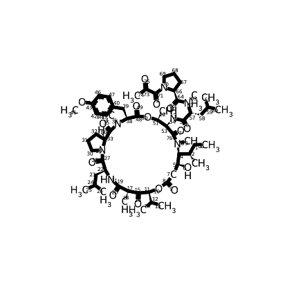 CC[C@H](C)[C@H]1[C@@H](O)CC(=O)O[C@@H](C(C)C)C(=O)[C@H](C)C(=O)N[C@@H](CC(C)C)C(=O)N2CCC[C@H]2C(=O)N(C)[C@@H](Cc2ccc(OC)cc2)C(=O)O[C@H](C)[C@H](NC(=O)[C@@H](CC(C)C)N(C)C(=O)[C@@H]2CCCN2C(=O)C(C)=O)C(=O)N1C